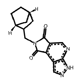 O=C1c2cnc3[nH]ncc3c2C(=O)N1CC1C[C@H]2CC[C@@H]1C2